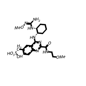 COCCNC(=O)c1nc(N[C@H]2CCCC[C@H]2N/C(N)=N\OC)c2cc(C)ccc2n1.O=S(=O)(O)O